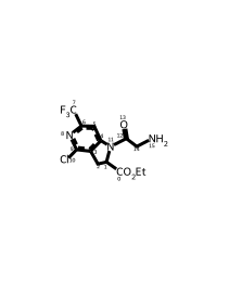 CCOC(=O)C1Cc2c(cc(C(F)(F)F)nc2Cl)N1C(=O)CN